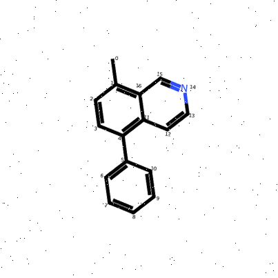 Cc1ccc(-c2ccccc2)c2ccncc12